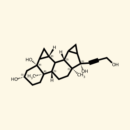 C[C@]12CC[C@H]3C([C@H]4CC4[C@]4(O)C[C@@H](O)CC[C@]34C)[C@@H]1C1CC1[C@@]2(O)C#CCO